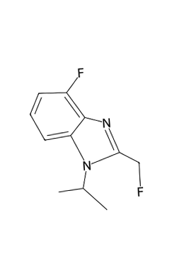 CC(C)n1c(CF)nc2c(F)cccc21